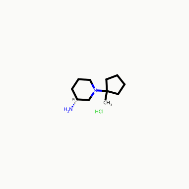 CC1(N2CCC[C@@H](N)C2)CCCC1.Cl